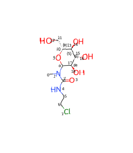 CN(C(=O)NCCCl)C1O[C@H](CO)[C@@H](O)[C@H](O)[C@H]1O